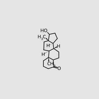 C[C@]12CCCC(=O)C1CC[C@@H]1[C@@H]2CC[C@]2(C)C(O)CC[C@@H]12